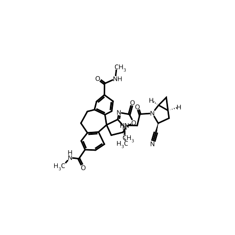 CNC(=O)c1ccc2c(c1)CCc1cc(C(=O)NC)ccc1C2(C[C@@H](C)NCC(=O)N1[C@H](C#N)C[C@@H]2C[C@@H]21)c1nc(=O)on1C